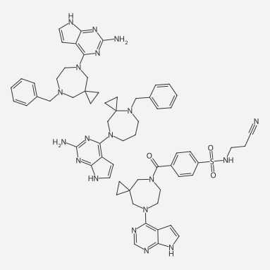 N#CCCNS(=O)(=O)c1ccc(C(=O)N2CCN(c3ncnc4[nH]ccc34)CC3(CC3)C2)cc1.Nc1nc(N2CCCN(Cc3ccccc3)C3(CC3)C2)c2cc[nH]c2n1.Nc1nc(N2CCN(Cc3ccccc3)CC3(CC3)C2)c2cc[nH]c2n1